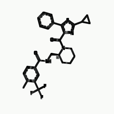 Cc1ccc(C(=O)NC[C@@H]2CCCCN2C(=O)c2nc(C3CC3)sc2-c2ccccc2)cc1C(F)(F)F